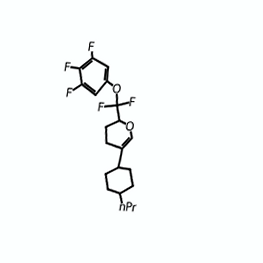 CCCC1CCC(C2=COC(C(F)(F)Oc3cc(F)c(F)c(F)c3)CC2)CC1